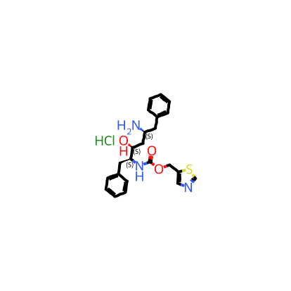 Cl.N[C@@H](Cc1ccccc1)C[C@H](O)[C@H](Cc1ccccc1)NC(=O)OCc1cncs1